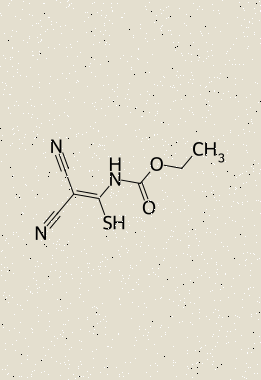 CCOC(=O)NC(S)=C(C#N)C#N